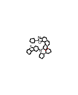 c1ccc(-c2nc3ccc4ccc5ccc(N(c6ccc7sc8ccccc8c7c6)c6ccccc6-c6ccccc6)cc5c4c3o2)cc1